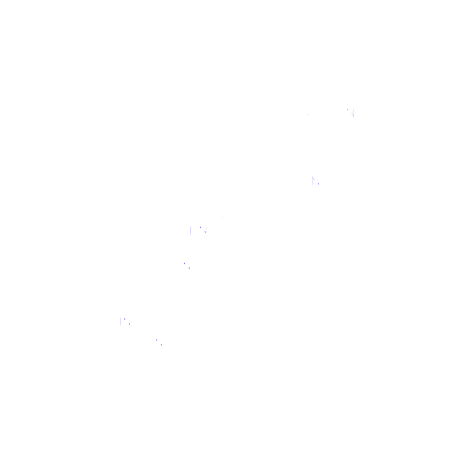 COC(=O)Nc1cc(-c2nc(NC(=O)Cc3ccc(Oc4ncccc4C(N)=O)c(F)c3)sc2C)ccn1